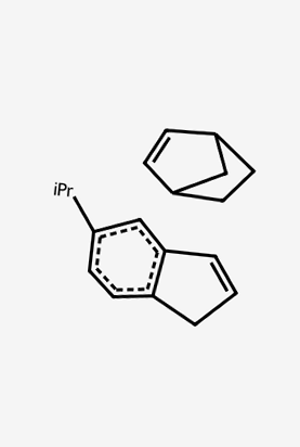 C1=CC2CCC1C2.CC(C)c1ccc2c(c1)C=CC2